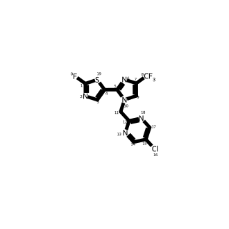 Fc1ncc(-c2nc(C(F)(F)F)cn2Cc2ncc(Cl)cn2)s1